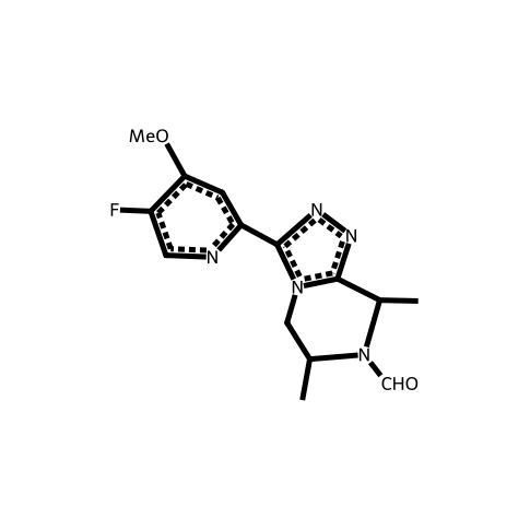 COc1cc(-c2nnc3n2CC(C)N(C=O)C3C)ncc1F